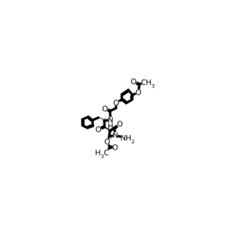 CC(=O)Oc1ccc(OCC(=O)N[C@@H](Cc2ccccc2)C(=O)[C@H]2C(=O)N(N)[C@H]2OC(C)=O)cc1